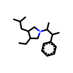 CCC1CN(C(C)C(C)c2ccccc2)CC1CC(C)C